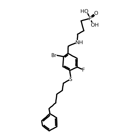 O=P(O)(O)CCCNCc1cc(F)c(SCCCCCc2ccccc2)cc1Br